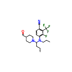 CCCC(N1CCC(C=O)CC1)N(CCC)c1ccc(C#N)c(C(F)(F)F)c1F